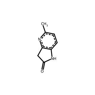 Cc1ccc2c(n1)CC(=O)N2